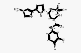 Cn1cnc(-c2ccc([C@H]3C[C@@H](C(=O)Nc4ccc(F)c(Cl)c4)NS(=O)(=O)N3)s2)c1